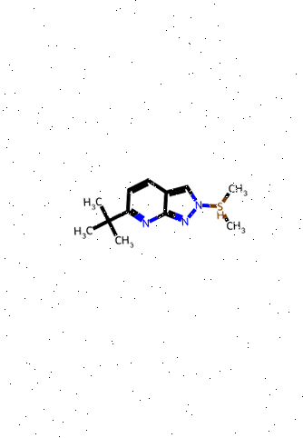 C[SH](C)n1cc2ccc(C(C)(C)C)nc2n1